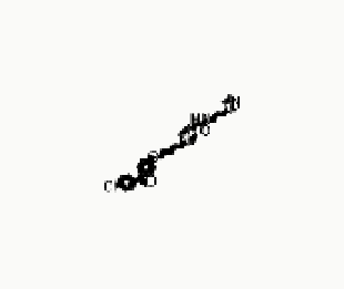 O=C(CN1CCN(CCCCCOc2ccc3c(-c4ccc(Cl)cc4)coc3c2)CC1)NCCCn1ccnc1